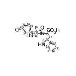 O=C(N[C@@H](Cc1c[nH]c2ccccc12)C(=O)O)C(CS)Cc1ccc(Cl)cc1